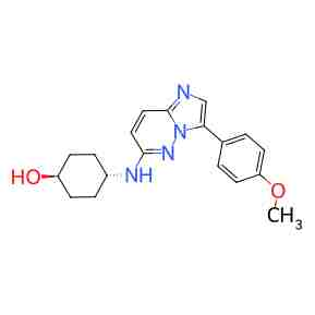 COc1ccc(-c2cnc3ccc(N[C@H]4CC[C@H](O)CC4)nn23)cc1